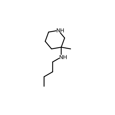 CCCCNC1(C)CCCNC1